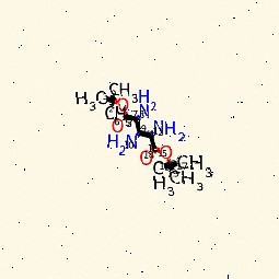 CC(C)(C)OC(=O)C(N)C(N)C(N)C(=O)OC(C)(C)C